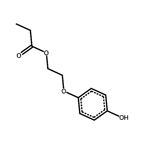 CCC(=O)OCCOc1ccc(O)cc1